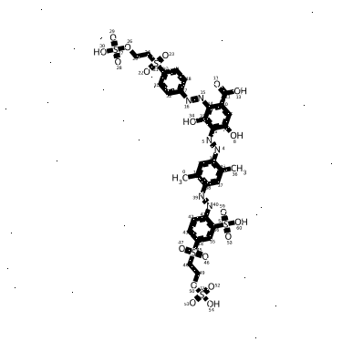 Cc1cc(N=Nc2c(O)cc(C(=O)O)c(N=Nc3ccc(S(=O)(=O)CCOS(=O)(=O)O)cc3)c2O)c(C)cc1N=Nc1ccc(S(=O)(=O)CCOS(=O)(=O)O)cc1S(=O)(=O)O